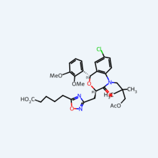 COc1cccc([C@H]2O[C@H](Cc3noc(CCCCC(=O)O)n3)C(=O)N(CC(C)(C)COC(C)=O)c3ccc(Cl)cc32)c1OC